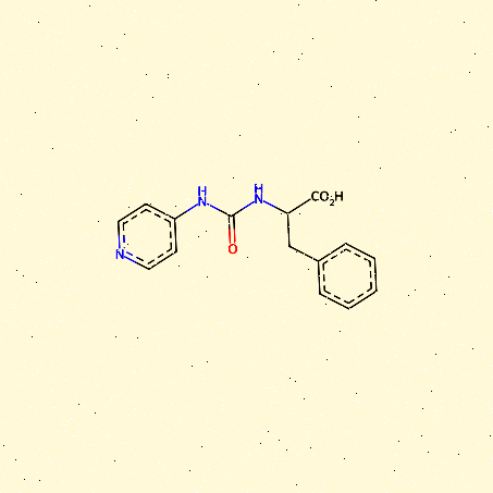 O=C(Nc1ccncc1)NC(Cc1ccccc1)C(=O)O